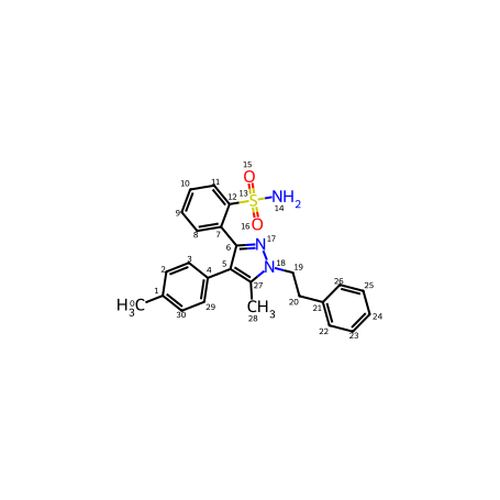 Cc1ccc(-c2c(-c3ccccc3S(N)(=O)=O)nn(CCc3ccccc3)c2C)cc1